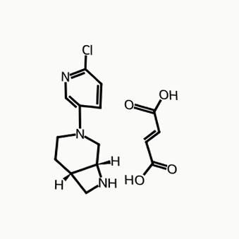 Clc1ccc(N2CC[C@H]3CN[C@H]3C2)cn1.O=C(O)/C=C/C(=O)O